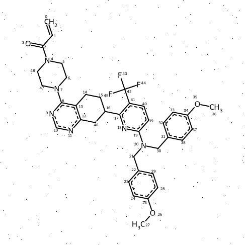 C=CC(=O)N1CCN(c2ncnc3c2CCC(c2nc(N(Cc4ccc(OC)cc4)Cc4ccc(OC)cc4)ccc2C(F)(F)F)C3)CC1